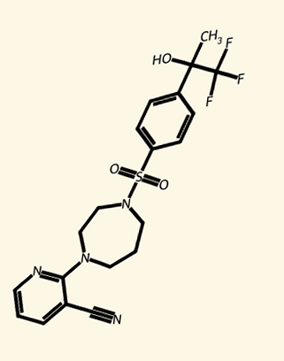 CC(O)(c1ccc(S(=O)(=O)N2CCCN(c3ncccc3C#N)CC2)cc1)C(F)(F)F